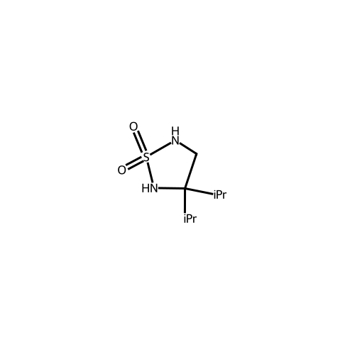 CC(C)C1(C(C)C)CNS(=O)(=O)N1